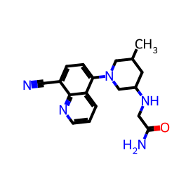 CC1CC(NCC(N)=O)CN(c2ccc(C#N)c3ncccc23)C1